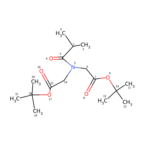 CC(C)C(=O)N(CC(=O)OC(C)(C)C)CC(=O)OC(C)(C)C